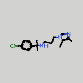 Cc1ncn(CCCNC(C)(C)c2ccc(Cl)cc2)c1C